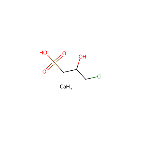 O=S(=O)(O)CC(O)CCl.[CaH2]